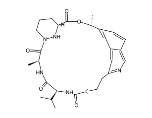 CC(C)[C@@H]1NC(=O)CCCc2cc3cc(ccc3cn2)[C@@H](C)OC(=O)[C@@H]2CCCN(N2)C(=O)[C@H](C)NC1=O